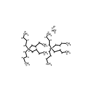 CCCC[N+](CCCC)(CCCC)CCCC.CCCC[N+](CCCC)(CCCC)CCCC.[F-].[OH-]